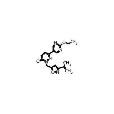 C=C(C)c1cc(Cn2nc(-c3cnc(OCC(F)(F)F)nc3)ccc2=O)on1